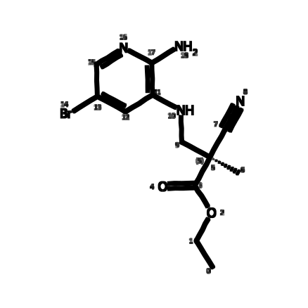 CCOC(=O)[C@](C)(C#N)CNc1cc(Br)cnc1N